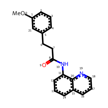 COc1cccc(CCC(=O)Nc2cccc3cccnc23)c1